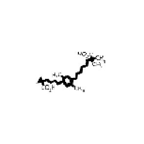 Cc1cc(CCCCC2(C(=O)O)CC2)c(C)cc1CCCCCCC(C)(C)C(=O)O